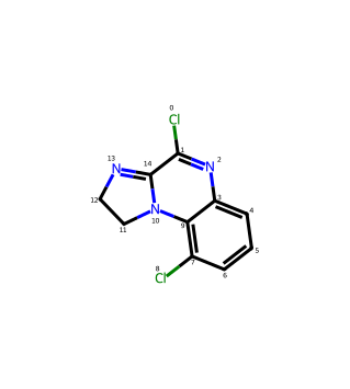 ClC1=Nc2cccc(Cl)c2N2CCN=C12